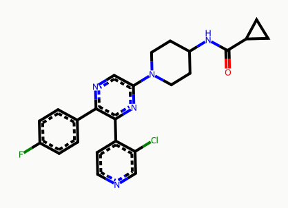 O=C(NC1CCN(c2cnc(-c3ccc(F)cc3)c(-c3ccncc3Cl)n2)CC1)C1CC1